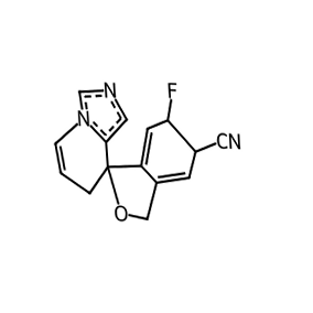 N#CC1C=C2COC3(CC=Cn4cncc43)C2=CC1F